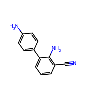 N#Cc1cccc(-c2ccc(N)cc2)c1N